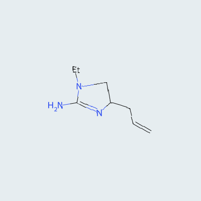 C=CCC1CN(CC)C(N)=N1